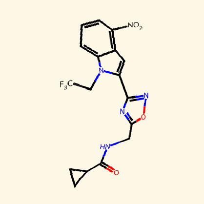 O=C(NCc1nc(-c2cc3c([N+](=O)[O-])cccc3n2CC(F)(F)F)no1)C1CC1